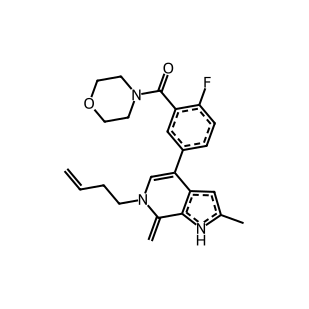 C=CCCN1C=C(c2ccc(F)c(C(=O)N3CCOCC3)c2)c2cc(C)[nH]c2C1=C